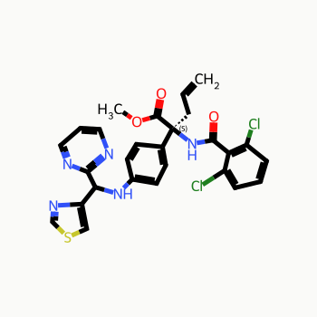 C=CC[C@@](NC(=O)c1c(Cl)cccc1Cl)(C(=O)OC)c1ccc(NC(c2cscn2)c2ncccn2)cc1